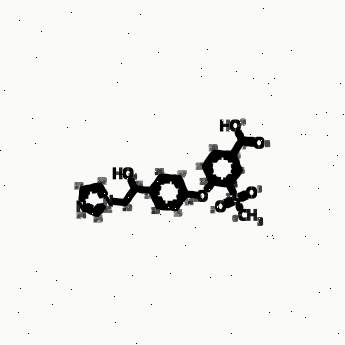 CS(=O)(=O)c1cc(C(=O)O)ccc1Oc1ccc(C(O)Cn2ccnc2)cc1